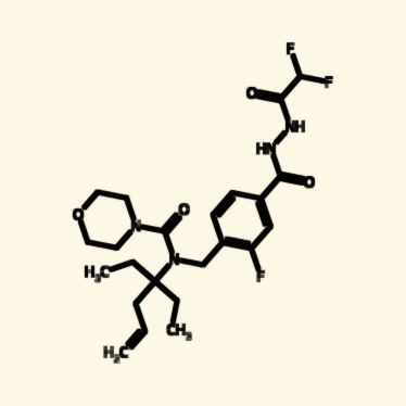 C=CCC(CC)(CC)N(Cc1ccc(C(=O)NNC(=O)C(F)F)cc1F)C(=O)N1CCOCC1